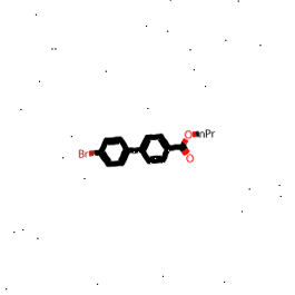 CCCOC(=O)c1ccc(-c2ccc(Br)cc2)cc1